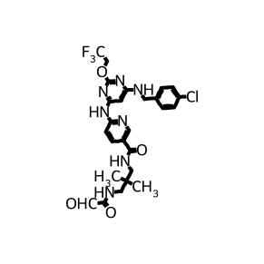 CC(C)(CNC(=O)C=O)CNC(=O)c1ccc(Nc2cc(NCc3ccc(Cl)cc3)nc(OCC(F)(F)F)n2)nc1